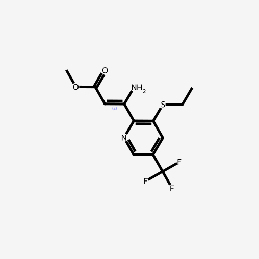 CCSc1cc(C(F)(F)F)cnc1/C(N)=C/C(=O)OC